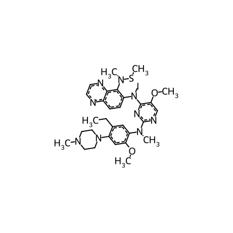 CCc1cc(N(C)c2ncc(OC)c(N(I)c3ccc4nccnc4c3N(C)SC)n2)c(OC)cc1N1CCN(C)CC1